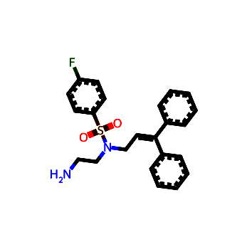 NCCN(CC=C(c1ccccc1)c1ccccc1)S(=O)(=O)c1ccc(F)cc1